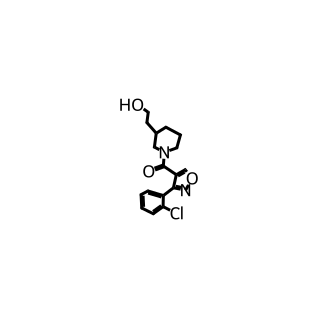 O=C(c1conc1-c1ccccc1Cl)N1CCCC(CCO)C1